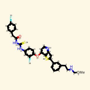 COCNCCc1cccc(-c2cc3nccc(Oc4ccc(NC(=S)NC(=O)Cc5ccc(F)cc5)cc4F)c3s2)c1